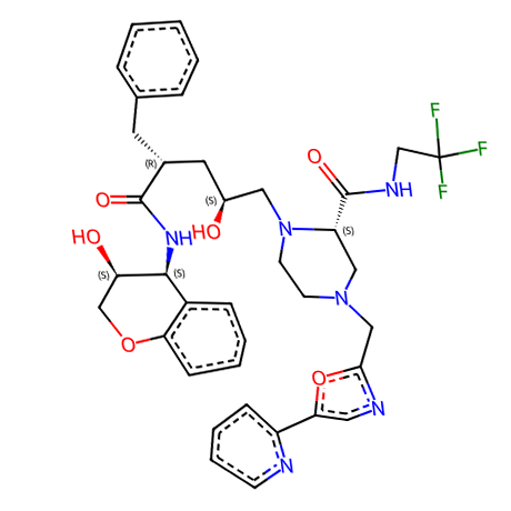 O=C(N[C@H]1c2ccccc2OC[C@H]1O)[C@H](Cc1ccccc1)C[C@H](O)CN1CCN(Cc2ncc(-c3ccccn3)o2)C[C@H]1C(=O)NCC(F)(F)F